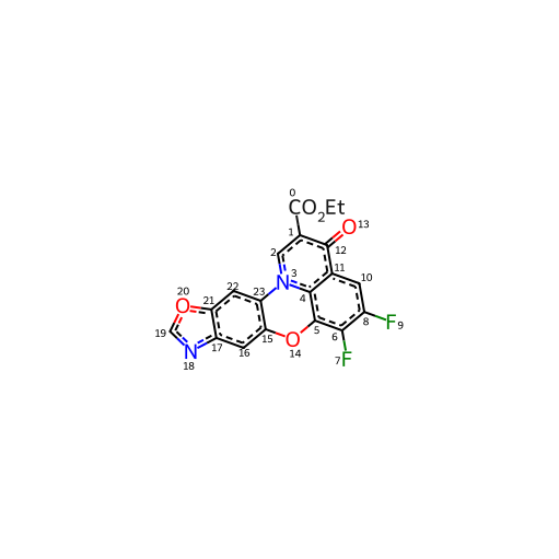 CCOC(=O)c1cn2c3c(c(F)c(F)cc3c1=O)Oc1cc3ncoc3cc1-2